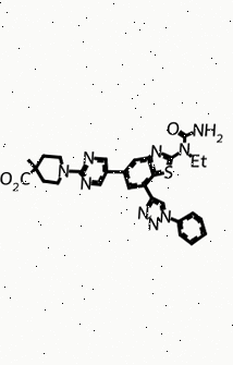 CCN(C(N)=O)c1nc2cc(-c3cnc(N4CCC(C)(C(=O)O)CC4)nc3)cc(-c3cn(-c4ccccc4)nn3)c2s1